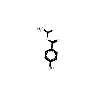 CC(Cl)OC(=O)c1ccc(O)cc1